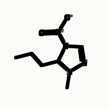 CCCC1N(C)N=CN1[N+](=O)[O-]